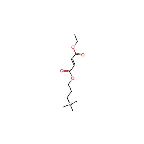 CCOC(=O)C=CC(=O)OCCC[Si](C)(C)C